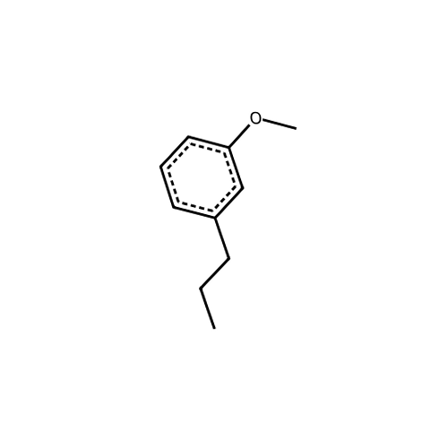 CCCc1cccc(OC)c1